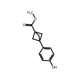 COC(=O)C12CC(c3ccc(O)cc3)(C1)C2